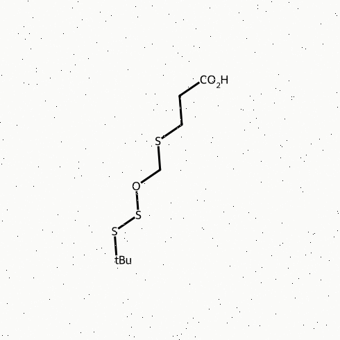 CC(C)(C)SSOCSCCC(=O)O